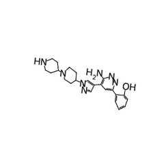 Nc1nnc(-c2ccccc2O)cc1-c1cnn(C2CCN(C3CCNCC3)CC2)c1